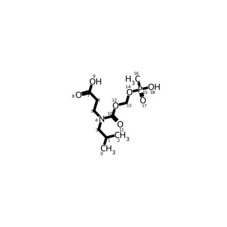 CC(C)CN(CCC(=O)O)C(=O)OCOP(C)(=O)O